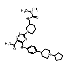 CN(C)C(=O)NC1CCCN(c2nnc(C(N)=O)c(Nc3ccc(C4CCN(C5CCCC5)CC4)cc3)n2)C1